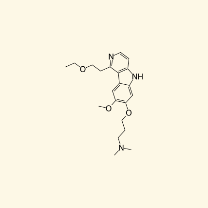 CCOCCc1nccc2[nH]c3cc(OCCCN(C)C)c(OC)cc3c12